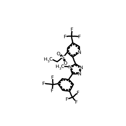 CCS(=O)(=O)c1cc(C(F)(F)F)cnc1-c1nnc(-c2cc(C(F)(F)F)cc(C(F)(F)F)c2)n1C